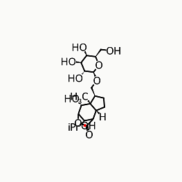 CC(C)[C@]1(O)C2C(=O)OC1[C@H](O)[C@]1(C)[C@@H](CO[C@@H]3O[C@H](CO)[C@H](O)[C@H](O)[C@H]3O)CC[C@H]21